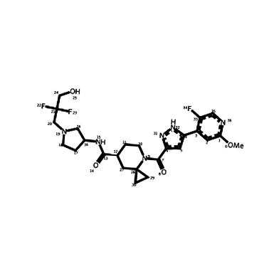 COc1cc(-c2cc(C(=O)N3CC[C@H](C(=O)NC4CCN(CC(F)(F)CO)C4)CC34CC4)n[nH]2)c(F)cn1